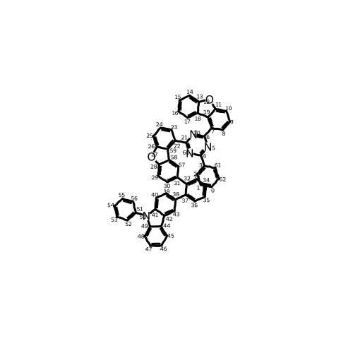 c1ccc(-c2nc(-c3cccc4oc5ccccc5c34)nc(-c3cccc4oc5ccc(-c6ccccc6-c6ccc7c(c6)c6ccccc6n7-c6ccccc6)cc5c34)n2)cc1